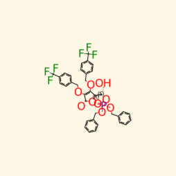 O=C1O[C@H]([C@H](CO)OP(=O)(OCc2ccccc2)OCc2ccccc2)C(OCc2ccc(C(F)(F)F)cc2)=C1OCc1ccc(C(F)(F)F)cc1